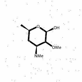 CN[C@H]1C[C@@H](C)O[C@@H](O)C1OC